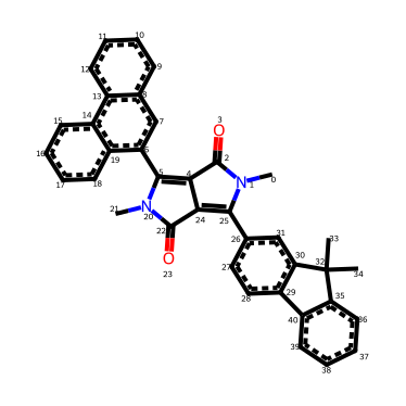 CN1C(=O)C2=C(c3cc4ccccc4c4ccccc34)N(C)C(=O)C2=C1c1ccc2c(c1)C(C)(C)c1ccccc1-2